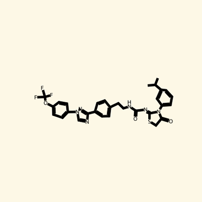 CC(C)c1cccc(N2C(=O)CSC2=NC(=O)NCCc2ccc(-c3ncn(-c4ccc(OC(F)(F)F)cc4)n3)cc2)c1